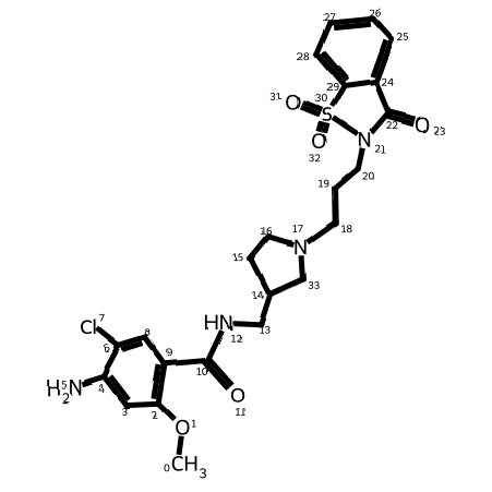 COc1cc(N)c(Cl)cc1C(=O)NCC1CCN(CCCN2C(=O)c3ccccc3S2(=O)=O)C1